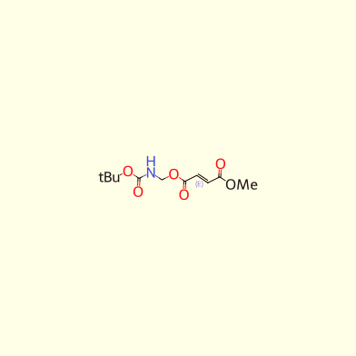 COC(=O)/C=C/C(=O)OCNC(=O)OC(C)(C)C